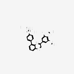 CNS(=O)(=O)c1ccc(-c2cccc3ncc(-c4cc(OC)c(OC)c(OC)c4)nc23)cc1